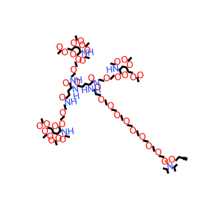 C#CCCOP(OCCOCCOCCOCCOCCOCCOCCOCCOCCC(=O)NC(CCC(=O)NC(CCC(=O)NCCOCCOC1OC(COC(C)=O)C(OC(C)=O)C(OC(C)=O)C1NC(C)=O)C(=O)NCCOCCOC1OC(COC(C)=O)C(OC(C)=O)C(OC(C)=O)C1NC(C)=O)C(=O)NCCOCCOC1OC(COC(C)=O)C(OC(C)=O)CC1NC(C)=O)N(C(C)C)C(C)C